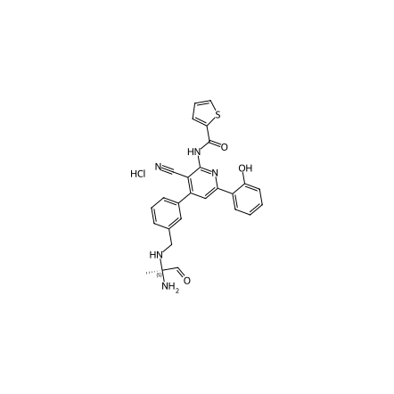 C[C@@](N)(C=O)NCc1cccc(-c2cc(-c3ccccc3O)nc(NC(=O)c3cccs3)c2C#N)c1.Cl